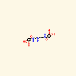 O=C(NCCCCNCCCNC(=O)c1ccc(O)c(O)c1)c1ccc(O)c(O)c1